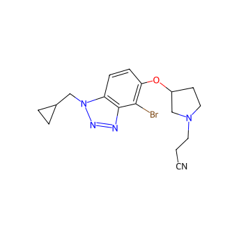 N#CCCN1CCC(Oc2ccc3c(nnn3CC3CC3)c2Br)C1